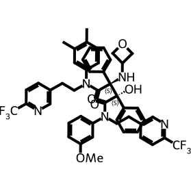 COc1cccc(N(CCc2ccc(C(F)(F)F)nc2)C(=O)[C@](O)(c2ccccc2)[C@](NC2COC2)(C(=O)N(CCc2ccc(C(F)(F)F)nc2)c2ccc(C)c(C)c2)c2ccccc2)c1